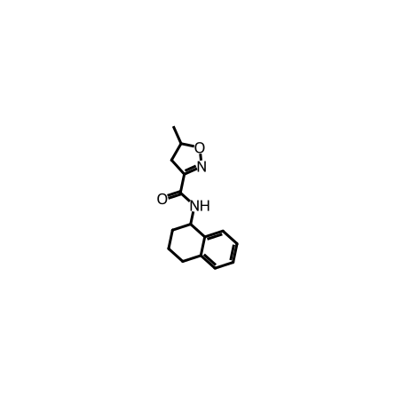 CC1CC(C(=O)NC2CCCc3ccccc32)=NO1